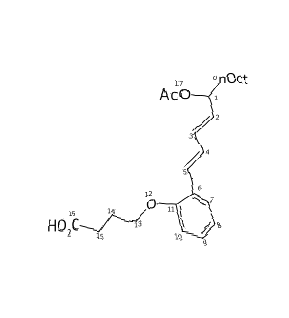 CCCCCCCCC(C=CC=Cc1ccccc1OCCCC(=O)O)OC(C)=O